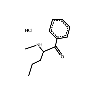 CCCC(NC)C(=O)c1ccccc1.Cl